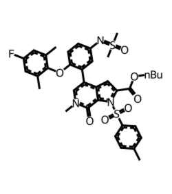 CCCCOC(=O)c1cc2c(-c3cc(N=S(C)(C)=O)ccc3Oc3c(C)cc(F)cc3C)cn(C)c(=O)c2n1S(=O)(=O)c1ccc(C)cc1